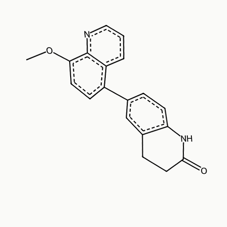 COc1ccc(-c2ccc3c(c2)CCC(=O)N3)c2cccnc12